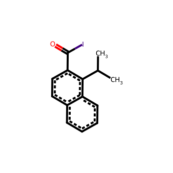 CC(C)c1c(C(=O)I)ccc2ccccc12